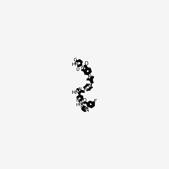 C[C@@H](Oc1cc(-c2[nH]cnc2CN2CCN(CC3CN(c4ccc5c(c4)CN(C4CCC(=O)NC4=O)C5=O)C3)CC2)cnc1N)c1cc(F)ccc1-n1cccn1